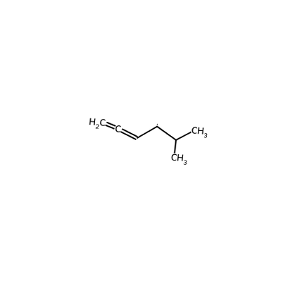 C=C=C[CH]C(C)C